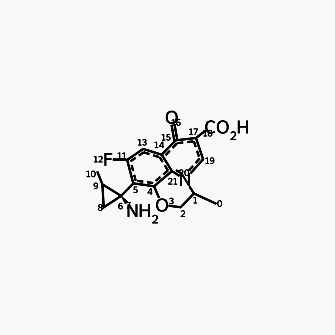 CC1COc2c([C@]3(N)CC3C)c(F)cc3c(=O)c(C(=O)O)cn1c23